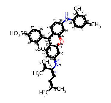 C=C(C)C(=C\C=C(C)C)/N=c1\ccc2c(-c3ccc(S(=O)(=O)O)cc3S(=O)(=O)O)c3ccc(Nc4ccc(C)cc4C)cc3oc-2c1